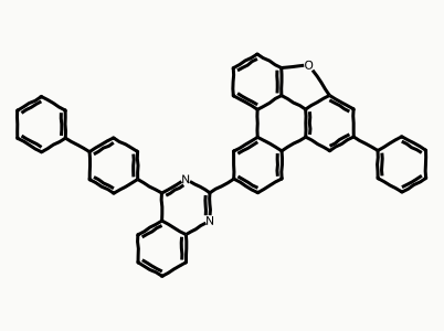 c1ccc(-c2ccc(-c3nc(-c4ccc5c(c4)c4cccc6oc7cc(-c8ccccc8)cc5c7c64)nc4ccccc34)cc2)cc1